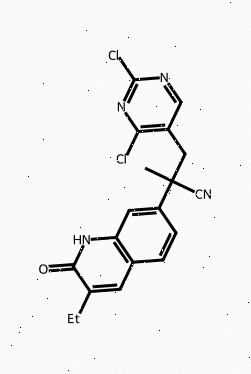 CCc1cc2ccc(C(C)(C#N)Cc3cnc(Cl)nc3Cl)cc2[nH]c1=O